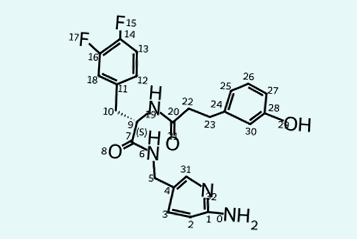 Nc1ccc(CNC(=O)[C@H](Cc2ccc(F)c(F)c2)NC(=O)CCc2cccc(O)c2)cn1